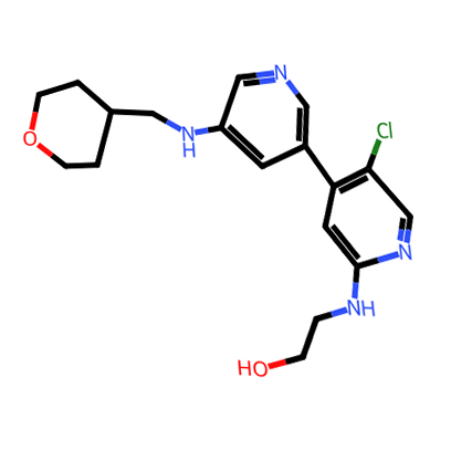 OCCNc1cc(-c2cncc(NCC3CCOCC3)c2)c(Cl)cn1